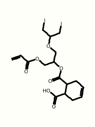 C=CC(=O)OCC(COC(CI)CI)OC(=O)C1CC=CCC1C(=O)O